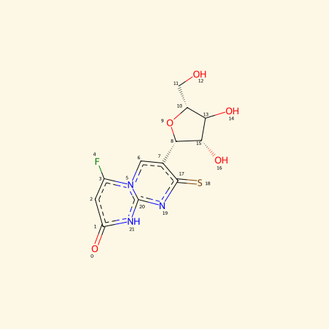 O=c1cc(F)n2cc([C@@H]3O[C@H](CO)C(O)[C@@H]3O)c(=S)nc2[nH]1